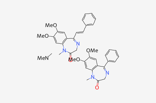 CNC.COc1cc2c(cc1OC)N(C)C(=O)CN=C2C=Cc1ccccc1.COc1cc2c(cc1OC)N(C)C(=O)CN=C2c1ccccc1